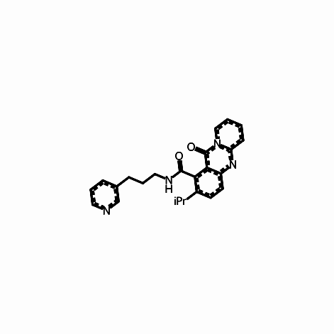 CC(C)c1ccc2nc3ccccn3c(=O)c2c1C(=O)NCCCc1cccnc1